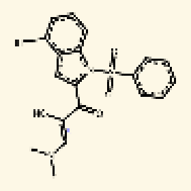 CC(C)c1cccc2c1cc(C(=O)/C(C#N)=C/N(C)C)n2S(=O)(=O)c1ccccc1